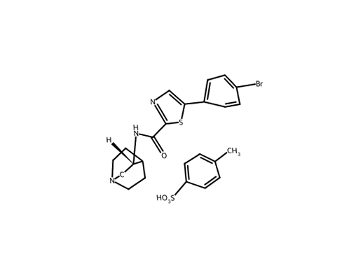 Cc1ccc(S(=O)(=O)O)cc1.O=C(N[C@H]1CN2CCC1CC2)c1ncc(-c2ccc(Br)cc2)s1